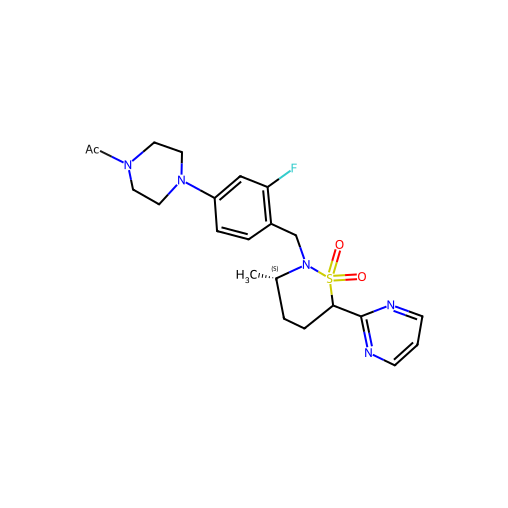 CC(=O)N1CCN(c2ccc(CN3[C@@H](C)CCC(c4ncccn4)S3(=O)=O)c(F)c2)CC1